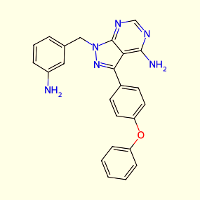 Nc1cccc(Cn2nc(-c3ccc(Oc4ccccc4)cc3)c3c(N)ncnc32)c1